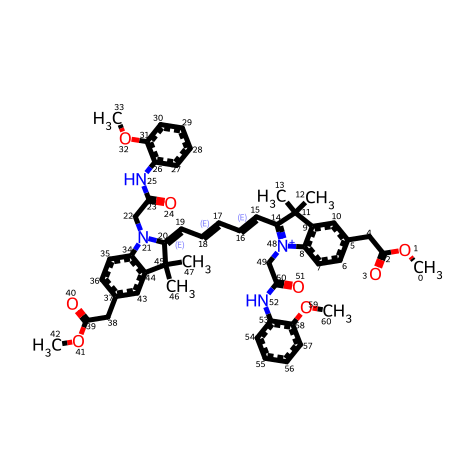 COC(=O)Cc1ccc2c(c1)C(C)(C)C(/C=C/C=C/C=C1/N(CC(=O)Nc3ccccc3OC)c3ccc(CC(=O)OC)cc3C1(C)C)=[N+]2CC(=O)Nc1ccccc1OC